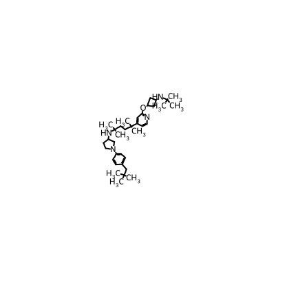 CC(C)(C)Cc1ccc(N2CCC(NC(C)(C)CCC(C)(C)c3ccnc(O[C@H]4C[C@H](NC(C)(C)C)C4)c3)C2)cc1